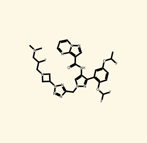 CC(F)Oc1ccc(OC(F)F)c(-c2nn(Cc3nnn(C4CN(CC(F)CN(C)C)C4)n3)cc2NC(=O)c2cnn3cccnc23)c1